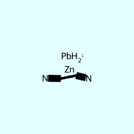 N#CC#N.[PbH2].[Zn]